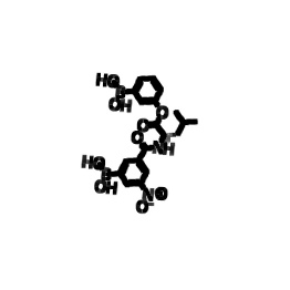 CC(C)C[C@H](NC(=O)c1cc(B(O)O)cc([N+](=O)[O-])c1)C(=O)Oc1cccc(B(O)O)c1